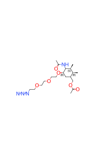 CC(=O)NC1[C@@H](C)[C@@H](C)C(COC(C)=O)C[C@H]1OCCOCCOCCN=[N+]=[N-]